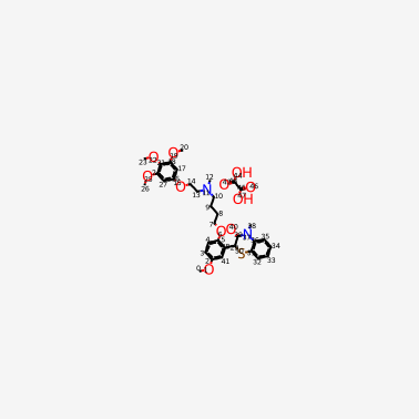 COc1ccc(OCCCCN(C)CCOc2cc(OC)c(OC)c(OC)c2)c(C2Sc3ccccc3N(C)C2=O)c1.O=C(O)C(=O)O